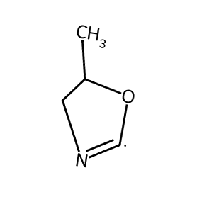 CC1CN=[C]O1